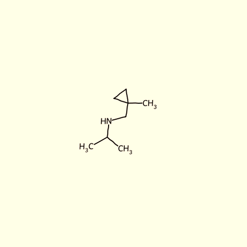 CC(C)NCC1(C)CC1